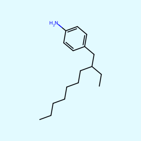 CCCCCCCC(CC)Cc1ccc(N)cc1